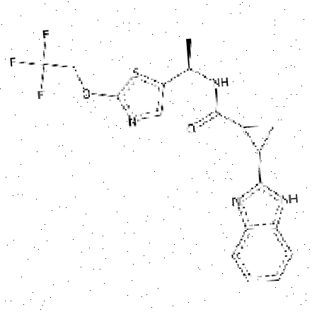 C[C@@H](NC(=O)C1CC1c1nc2ccccc2[nH]1)c1cnc(OCC(F)(F)F)s1